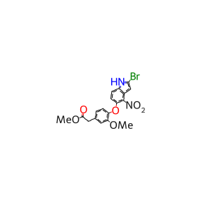 COC(=O)Cc1ccc(Oc2ccc3[nH]c(Br)cc3c2[N+](=O)[O-])c(OC)c1